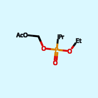 CCOP(=O)(OCOC(C)=O)C(C)C